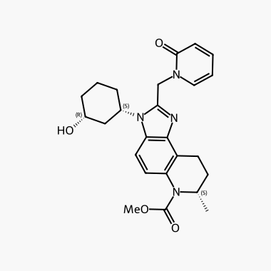 COC(=O)N1c2ccc3c(nc(Cn4ccccc4=O)n3[C@H]3CCC[C@@H](O)C3)c2CC[C@@H]1C